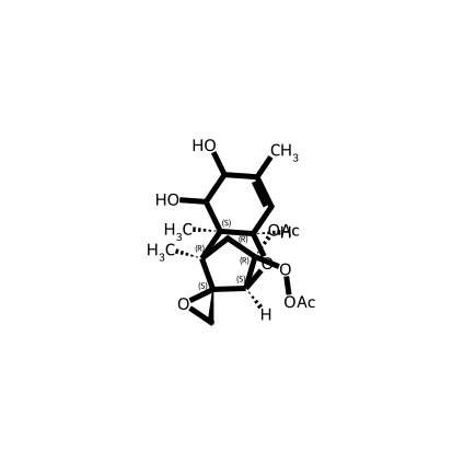 CC(=O)OO[C@]1(OC(C)=O)C[C@@]2(C)[C@]3(CO3)[C@@H]1O[C@@H]1C=C(C)C(O)C(O)[C@@]12C